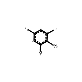 Nc1c(Cl)cc(I)cc1I